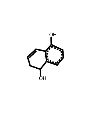 O[C]1CC=Cc2c(O)cccc21